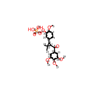 COc1ccc(C2C(C(=O)c3cc(OC)c(OC)c(OC)c3)C2(C)C)cc1OOP(=O)(O)O